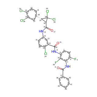 O=C(Nc1c(F)ccc(NC(=O)c2cc(NC(=O)C3[C@H](c4ccc(Cl)c(Cl)c4)C3(Cl)Cl)ccc2Cl)c1F)c1ccccc1